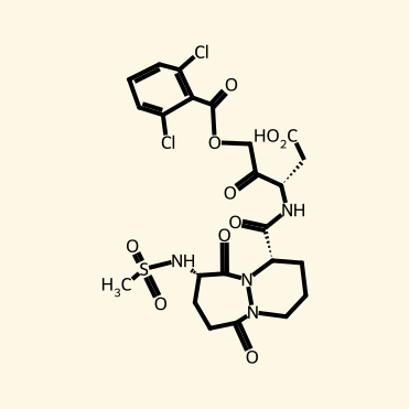 CS(=O)(=O)N[C@H]1CCC(=O)N2CCC[C@@H](C(=O)N[C@@H](CC(=O)O)C(=O)COC(=O)c3c(Cl)cccc3Cl)N2C1=O